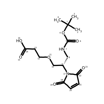 CC(C)(C)OC(=O)NC[C@@H](COCCC(=O)O)N1C(=O)C=CC1=O